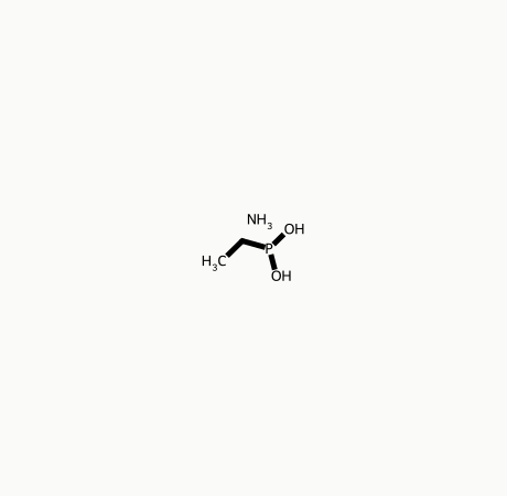 CCP(O)O.N